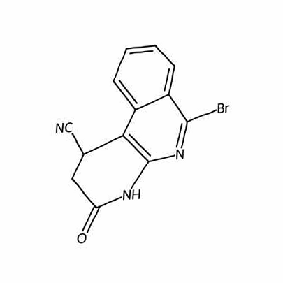 N#CC1CC(=O)Nc2nc(Br)c3ccccc3c21